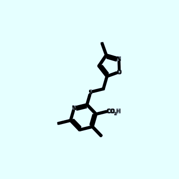 Cc1cc(CSc2nc(C)cc(C)c2C(=O)O)on1